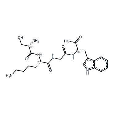 NCCCC[C@H](NC(=O)[C@@H](N)CO)C(=O)NCC(=O)N[C@@H](Cc1c[nH]c2ccccc12)C(=O)O